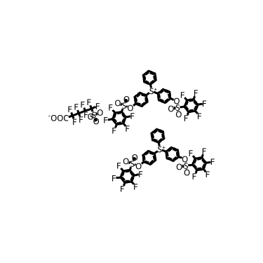 O=C([O-])C(F)(F)C(F)(F)C(F)(F)C(F)(F)S(=O)(=O)[O-].O=S(=O)(Oc1ccc([S+](c2ccccc2)c2ccc(OS(=O)(=O)c3c(F)c(F)c(F)c(F)c3F)cc2)cc1)c1c(F)c(F)c(F)c(F)c1F.O=S(=O)(Oc1ccc([S+](c2ccccc2)c2ccc(OS(=O)(=O)c3c(F)c(F)c(F)c(F)c3F)cc2)cc1)c1c(F)c(F)c(F)c(F)c1F